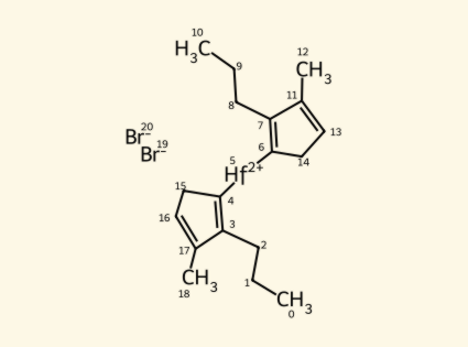 CCCC1=[C]([Hf+2][C]2=C(CCC)C(C)=CC2)CC=C1C.[Br-].[Br-]